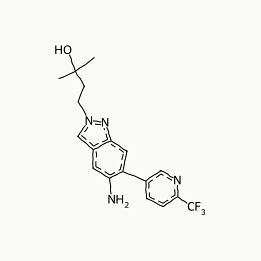 CC(C)(O)CCn1cc2cc(N)c(-c3ccc(C(F)(F)F)nc3)cc2n1